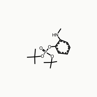 CNc1ccccc1OP(=O)(OC(C)(C)C)OC(C)(C)C